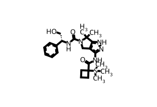 CC1(C)c2[nH]nc(NC(=O)C3(S(C)(C)C)CCC3)c2CN1C(=O)N[C@@H](CO)c1ccccc1